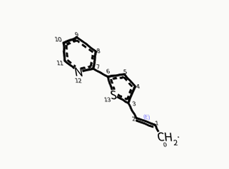 [CH2]/C=C/c1ccc(-c2ccccn2)s1